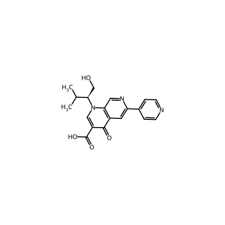 CC(C)[C@@H](CO)n1cc(C(=O)O)c(=O)c2cc(-c3ccncc3)ncc21